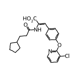 O=C(CCC1CCCC1)N/C(=C\c1ccc(Oc2ncccc2Cl)cc1)C(=O)O